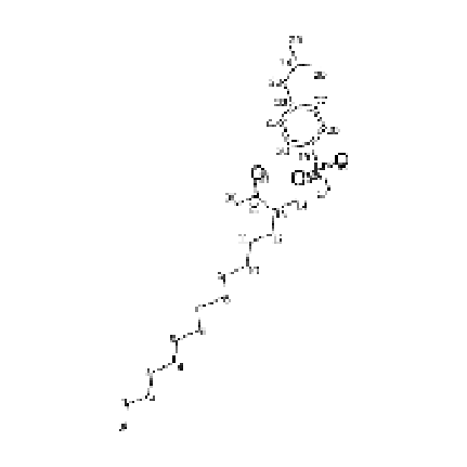 CCCCCCCCCCCCCC(COP(C)(=O)c1ccc(CC(C)C)cc1)C(C)=O